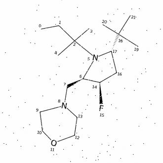 CCC(C)(C)N1[C@H](CN2CCOCC2)[C@H](F)C[C@H]1C(C)(C)C